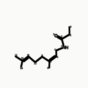 CCC(=O)NCC=C(C)CCC=C(C)C